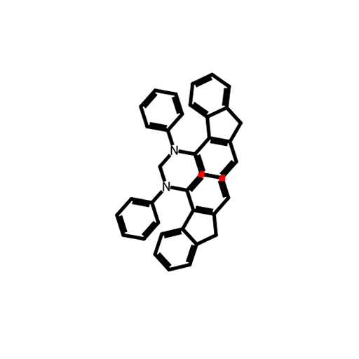 c1ccc(N(CN(c2ccccc2)c2cccc3c2-c2ccccc2C3)c2cccc3c2-c2ccccc2C3)cc1